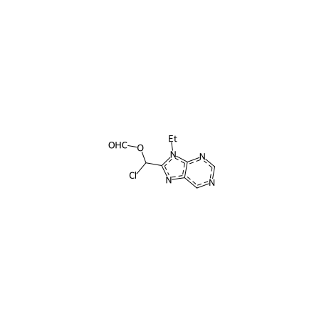 CCn1c(C(Cl)OC=O)nc2cncnc21